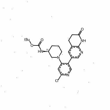 CC(C)(C)OC(=O)N[C@H]1CCCN(c2cc(Cl)ncc2-c2cnc3c(c2)CCC(=O)N3)C1